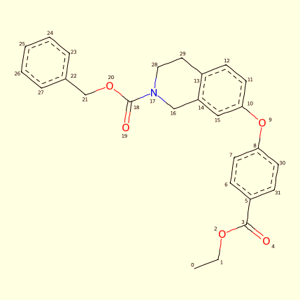 CCOC(=O)c1ccc(Oc2ccc3c(c2)CN(C(=O)OCc2ccccc2)CC3)cc1